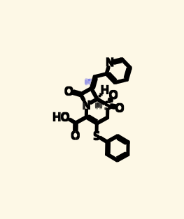 O=C(O)C1=C(Sc2ccccc2)CS(=O)(=O)[C@@H]2/C(=C\c3ccccn3)C(=O)N12